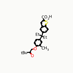 CCC(CC)(c1ccc(OCC(=O)C(C)(C)C)c(C)c1)c1ccc2sc(C(=O)O)cc2c1